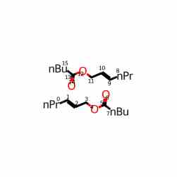 CCC/C=C/COC(=O)CCCC.CCCC=CCOC(=O)CCCC